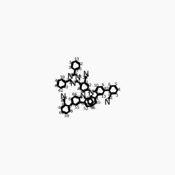 N#Cc1ccccc1-c1ccc2c(c1)c1ccccc1n2-c1cc(C#N)c(-c2nc(-c3ccccc3)nc(-c3ccccc3)n2)cc1-n1c2ccccc2c2cc(-c3ccccc3C#N)ccc21